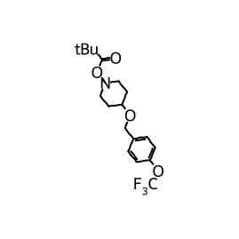 CC(C)(C)C(=O)ON1CCC(OCc2ccc(OC(F)(F)F)cc2)CC1